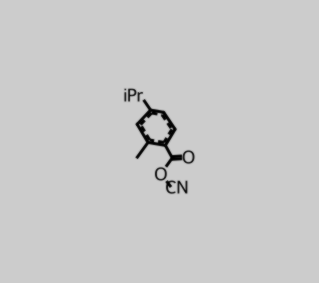 Cc1cc(C(C)C)ccc1C(=O)OC#N